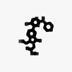 CNC(=O)CN1C(=O)c2cc(-c3nc(NC4CCOCC4)ncc3Cl)ccc2C1CO